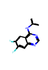 CC(C)Nc1ncnc2cc(F)c(F)cc12